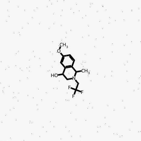 COc1ccc2c(c1)C(O)CN(CC(F)(F)F)C2C